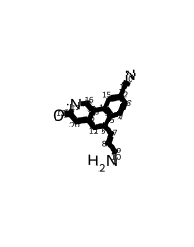 N#Cc1ccc2c(CCCN)cc3c(c2c1)=C[N]C(=O)C=3